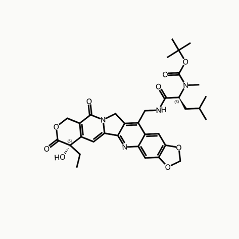 CC[C@@]1(O)C(=O)OCc2c1cc1n(c2=O)Cc2c-1nc1cc3c(cc1c2CNC(=O)[C@H](CC(C)C)N(C)C(=O)OC(C)(C)C)OCO3